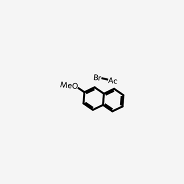 CC(=O)Br.COc1ccc2ccccc2c1